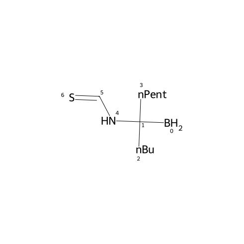 BC(CCCC)(CCCCC)NC=S